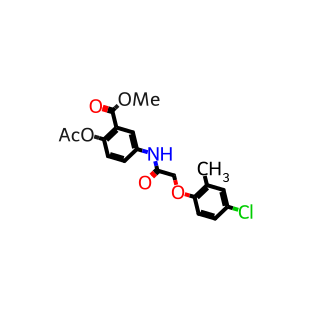 COC(=O)c1cc(NC(=O)COc2ccc(Cl)cc2C)ccc1OC(C)=O